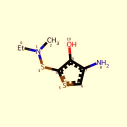 CCN(C)Sc1scc(N)c1O